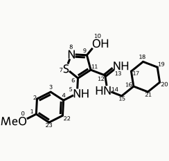 COc1ccc(Nc2snc(O)c2C(=N)NCC2CCCCC2)cc1